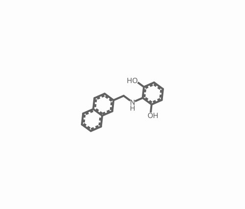 Oc1cccc(O)c1NCc1ccc2ccccc2c1